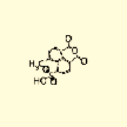 Cc1ccc2c3c(ccc(S(=O)(=O)O)c13)C(=O)OC2=O